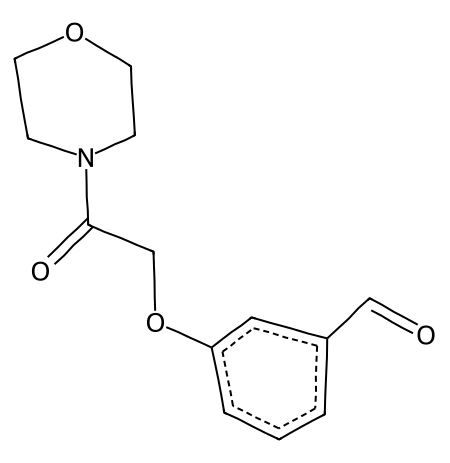 O=Cc1cccc(OCC(=O)N2CCOCC2)c1